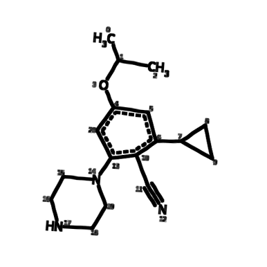 CC(C)Oc1cc(C2CC2)c(C#N)c(N2CCNCC2)c1